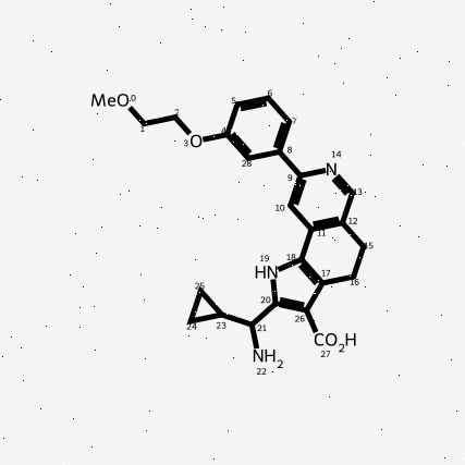 COCCOc1cccc(-c2cc3c(cn2)CCc2c-3[nH]c(C(N)C3CC3)c2C(=O)O)c1